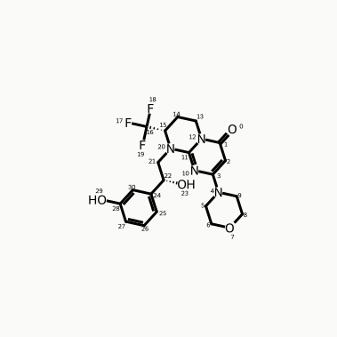 O=c1cc(N2CCOCC2)nc2n1CC[C@@H](C(F)(F)F)N2C[C@H](O)c1cccc(O)c1